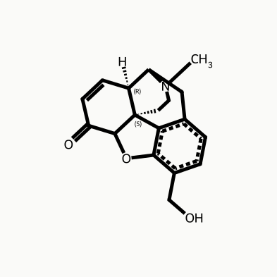 CN1CC[C@]23c4c5ccc(CO)c4OC2C(=O)C=C[C@H]3C1C5